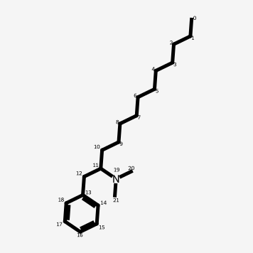 CCCCCCCCCCCC(Cc1ccccc1)N(C)C